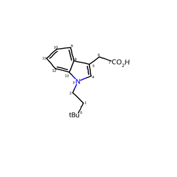 CC(C)(C)CCn1cc(CC(=O)O)c2ccccc21